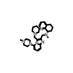 CN1CCN(c2cccc3nc(CN(C)[C@H]4CCCc5cccnc54)c(CN4CCCCC4)n23)CC1